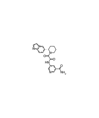 NC(=O)c1cncc(NC(=O)C(=O)N2CCCC[C@H]2c2ccc3nccn3c2)c1